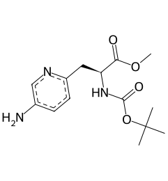 COC(=O)[C@H](Cc1ccc(N)cn1)NC(=O)OC(C)(C)C